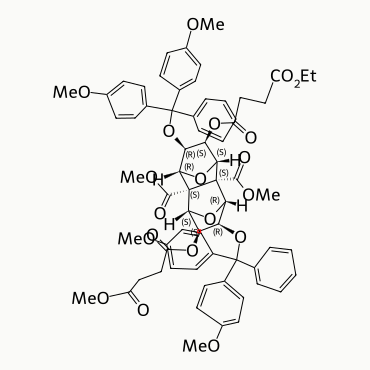 CCOC(=O)CCC(=O)O[C@@H]1[C@H](OC(c2ccccc2)(c2ccc(OC)cc2)c2ccc(OC)cc2)[C@@H]2O[C@H]1[C@@]1(C(=O)OC)[C@H]3O[C@H]([C@H](OC(=O)CCC(=O)OC)[C@@H]3OC(c3ccccc3)(c3ccc(OC)cc3)c3ccc(OC)cc3)[C@@]21C(=O)OC